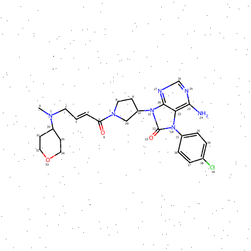 CN(C/C=C/C(=O)N1CCC(n2c(=O)n(-c3ccc(Cl)cc3)c3c(N)ncnc32)C1)C1CCOCC1